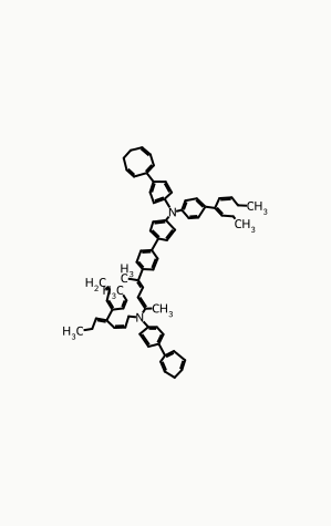 C=C/C=C(\C=C/C)C(/C=C\CN(/C(C)=C/C=C(\C)c1ccc(-c2ccc(N(c3ccc(C4=C/C=C\CC/C=C\4)cc3)c3ccc(C(/C=C\CC)=C/CC)cc3)cc2)cc1)c1ccc(C2=CC=CCC=C2)cc1)=C/CC